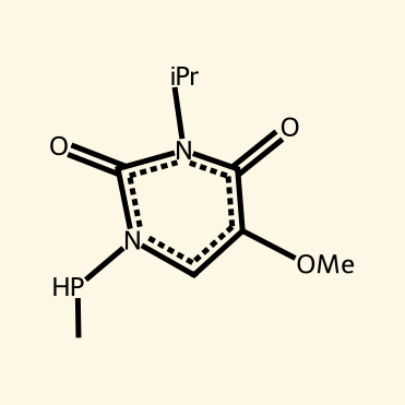 COc1cn(PC)c(=O)n(C(C)C)c1=O